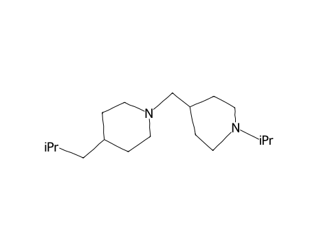 CC(C)CC1CCN(CC2CCN(C(C)C)CC2)CC1